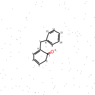 O=C1CC=CC=C1Cc1ccccc1